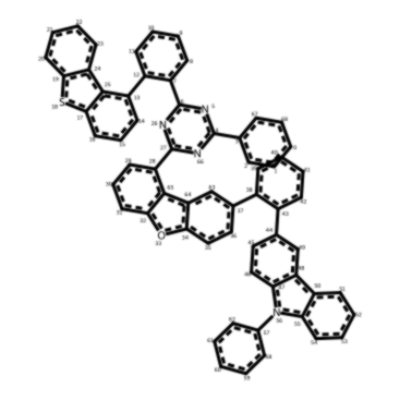 c1ccc(-c2nc(-c3ccccc3-c3cccc4sc5ccccc5c34)nc(-c3cccc4oc5ccc(-c6ccccc6-c6ccc7c(c6)c6ccccc6n7-c6ccccc6)cc5c34)n2)cc1